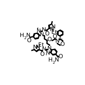 CCn1nc(C)cc1C(=O)N=c1n(C)c2cc(C(N)=O)ccc2n1CCC(CCn1c(=NC(=O)c2cc(C)nn2CC)n(C)c2cc(C(N)=O)ccc21)OCC(=O)N1CCOC[C@@H]1c1ccccc1